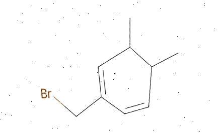 CC1C=CC(CBr)=CC1C